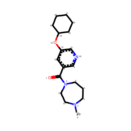 CC(C)N1CCCN(C(=O)c2cncc(OC3CCCCC3)c2)CC1